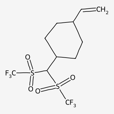 C=CC1CCC(C(S(=O)(=O)C(F)(F)F)S(=O)(=O)C(F)(F)F)CC1